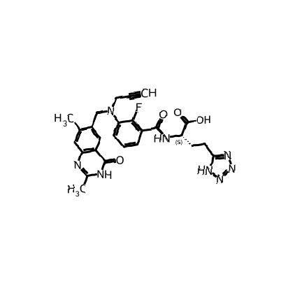 C#CCN(Cc1cc2c(=O)[nH]c(C)nc2cc1C)c1cccc(C(=O)N[C@@H](CCc2nnn[nH]2)C(=O)O)c1F